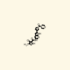 Cc1n[nH]c(C(=O)Nc2cnc3[nH]c(C4=CCN(C(=O)N5CCOCC5)C4)cc3c2)c1Cl